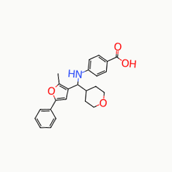 Cc1oc(-c2ccccc2)cc1C(Nc1ccc(C(=O)O)cc1)C1CCOCC1